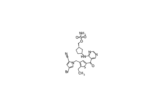 CCc1sc(C(=O)c2cncnc2N[C@H]2CC[C@@H](COS(N)(=O)=O)C2)cc1Cn1cc(Br)cc1C#N